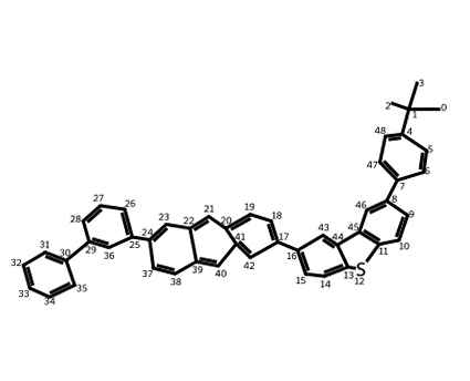 CC(C)(C)c1ccc(-c2ccc3sc4ccc(-c5ccc6cc7cc(-c8cccc(-c9ccccc9)c8)ccc7cc6c5)cc4c3c2)cc1